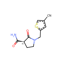 N#Cc1csc(CN2CC[C@@H](C(N)=O)C2=O)c1